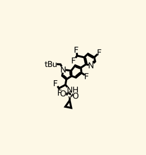 CC(C)(C)Cn1cc(C(NS(=O)(=O)C2CC2)C(F)F)c2cc(F)c(-c3ncc(F)cc3C(F)F)cc21